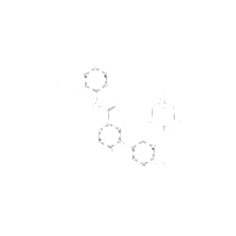 CC(=O)Cc1ccccc1NC(=O)c1cccc(-c2ccc(Cl)c(OC3CCNCC3)c2)c1